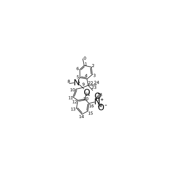 Cc1ccc2c(c1)N(C)C1(C=Cc3cccc([N+](=O)[O-])c3O1)C2(C)C